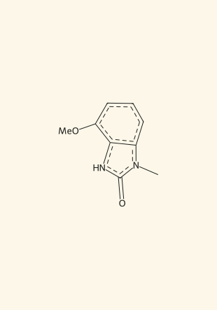 COc1cccc2c1[nH]c(=O)n2C